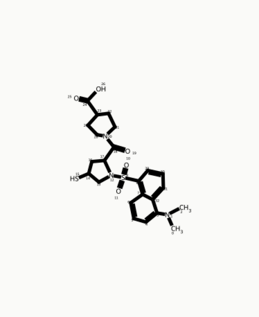 CN(C)c1cccc2c(S(=O)(=O)N3CC(S)CC3C(=O)N3CCC(C(=O)O)CC3)cccc12